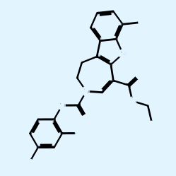 CCOC(=O)C1=CN(C(=O)Nc2ccc(Cl)cc2Cl)CCc2c1[nH]c1c(C)cccc21